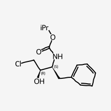 CC(C)OC(=O)N[C@@H](Cc1ccccc1)[C@@H](O)CCl